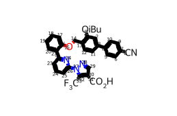 CC(C)COc1cc(-c2ccc(C#N)cc2)ccc1COc1ccccc1-c1cccc(-n2ncc(C(=O)O)c2C(F)(F)F)n1